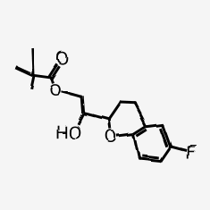 CC(C)(C)C(=O)OCC(O)C1CCc2cc(F)ccc2O1